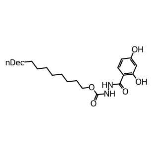 CCCCCCCCCCCCCCCCCCOC(=O)NNC(=O)c1ccc(O)cc1O